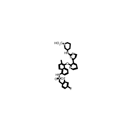 Cc1ccc2c(NS(=O)(=O)Cc3ccc(F)cc3F)cccc2c1Oc1ncccc1-c1ccnc(NC2CCCN(C(=O)O)C2)n1